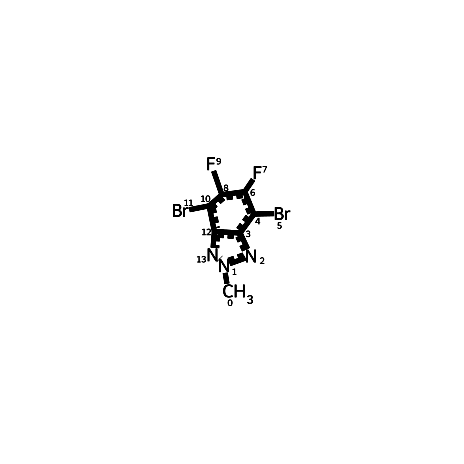 Cn1nc2c(Br)c(F)c(F)c(Br)c2n1